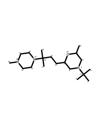 CC1CN(C(C)(C)C)CC(CCC(C)(C)N2CCN(C)CC2)O1